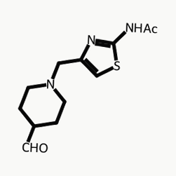 CC(=O)Nc1nc(CN2CCC(C=O)CC2)cs1